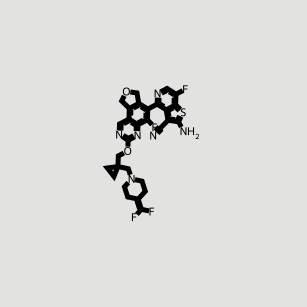 N#Cc1c(N)sc2c(F)cnc(-c3c4c(c5cnc(OCC6(CN7CCC(=C(F)F)CC7)CC6)nc5c3F)COC4)c12